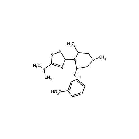 CC1CN(C)CC(C)N1C1N=C(N(C)C)SS1.O=C(O)c1ccccc1